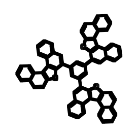 c1ccc2c(c1)ccc1oc3c(-c4cc(-c5cc6ccccc6c6c5oc5ccc7ccccc7c56)cc(-c5cc6ccccc6c6c5oc5ccc7ccccc7c56)c4)cc4ccccc4c3c12